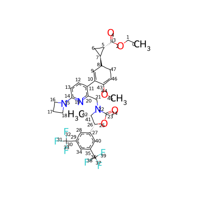 CCOC(=O)[C@H]1C[C@@H]1C1C=C(c2ccc(N3CCC3)nc2CN2C(=O)O[C@H](c3cc(C(F)(F)F)cc(C(F)(F)F)c3)[C@@H]2C)C(OC)=CC1